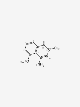 COc1cccc2c1C(N)=N[S+]([O-])N2